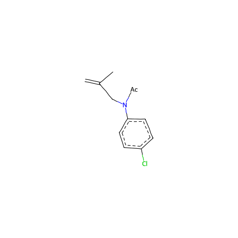 C=C(C)CN(C(C)=O)c1ccc(Cl)cc1